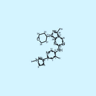 Cc1cc(-c2ccn(C)n2)ncc1Nc1ncc2c(C)nn(C3CCOCC3)c2n1